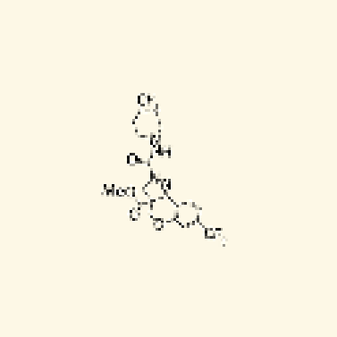 COC(=O)C12COc3cc(C(F)(F)F)ccc3C1=NN(C(=O)NN1CCC(C(F)(F)F)CC1)C2